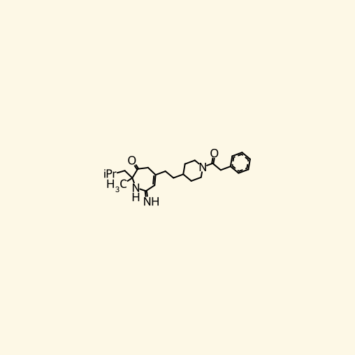 CC(C)CC1(C)NC(=N)C=C(CCC2CCN(C(=O)Cc3ccccc3)CC2)CC1=O